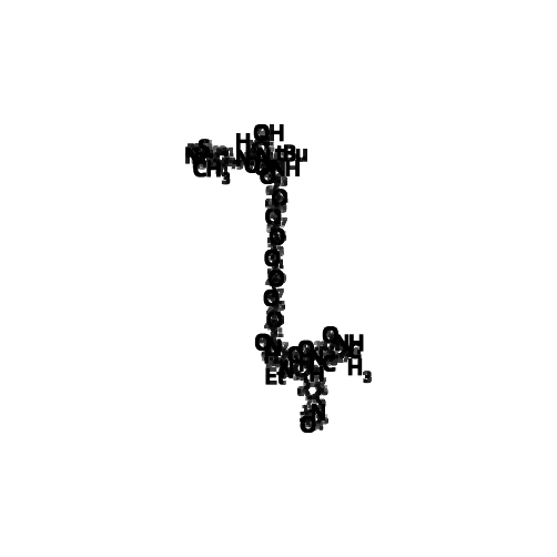 CCN(c1cc(-c2ccc(CN3CCOCC3)cc2)cc(C(=O)NCc2c(C)cc(C)[nH]c2=O)c1C)C1CCN(C(=O)CCOCCOCCOCCOCCOCCOCCOCCC(=O)N[C@@H](C(=O)N2C[C@H](O)C[C@H]2C(=O)NCc2ccc(-c3scnc3C)cc2)C(C)(C)C)CC1